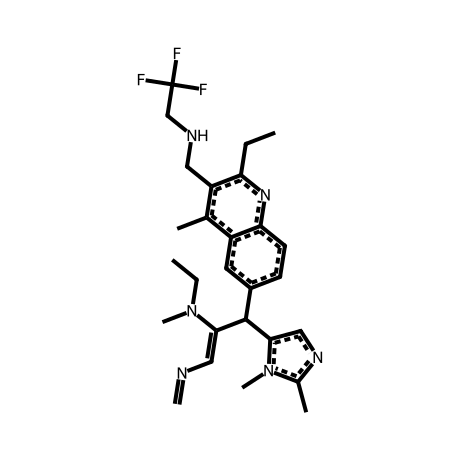 C=N/C=C(/C(c1ccc2nc(CC)c(CNCC(F)(F)F)c(C)c2c1)c1cnc(C)n1C)N(C)CC